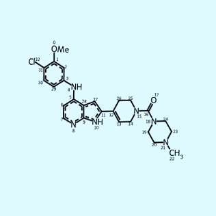 COc1cc(Nc2ccnc3[nH]c(C4=CCN(C(=O)N5CCN(C)CC5)CC4)cc23)ccc1Cl